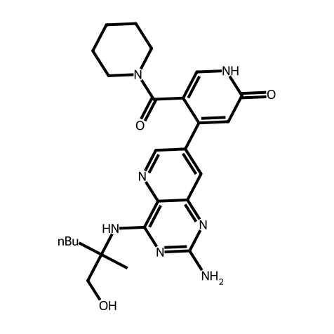 CCCCC(C)(CO)Nc1nc(N)nc2cc(-c3cc(=O)[nH]cc3C(=O)N3CCCCC3)cnc12